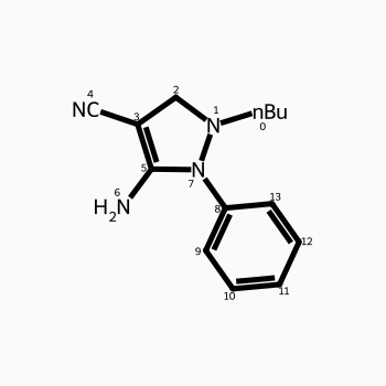 CCCCN1CC(C#N)=C(N)N1c1ccccc1